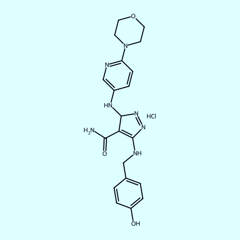 Cl.NC(=O)C1=C(NCc2ccc(O)cc2)N=NC1Nc1ccc(N2CCOCC2)nc1